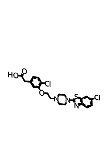 O=C(O)Cc1ccc(Cl)c(OCCN2CCN(c3nc4ccc(Cl)cc4s3)CC2)c1